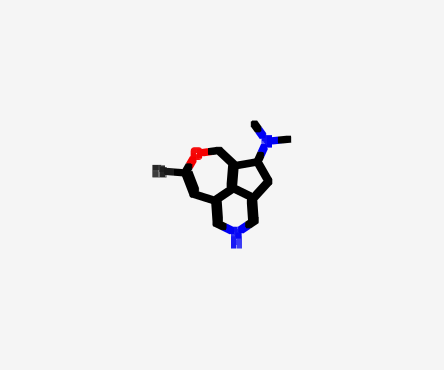 CCC1=CC2=CNC=C3CC(N(C)C)C(=C23)CO1